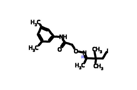 C/C(=N\OCC(=O)Nc1cc(C)cc(C)c1)C(C)(C)CI